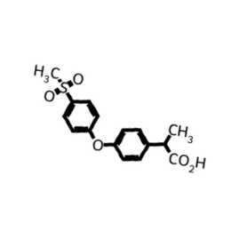 CC(C(=O)O)c1ccc(Oc2ccc(S(C)(=O)=O)cc2)cc1